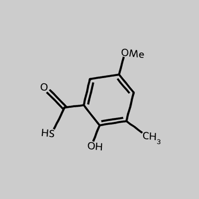 COc1cc(C)c(O)c(C(=O)S)c1